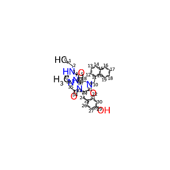 C#CCNC(=O)N1[C@H]2CN(Cc3cccc4ccccc34)C(=O)[C@H](Cc3ccc(O)cc3)N2C(=O)CN1C